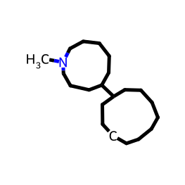 CN1CCCCCC(C2CCCCCCCCCC2)CCC1